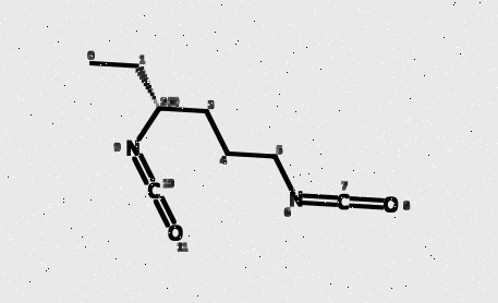 CC[C@H](CCCN=C=O)N=C=O